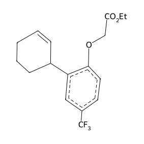 CCOC(=O)COc1ccc(C(F)(F)F)cc1C1C=CCCC1